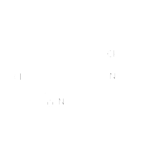 Clc1ccc2c(-c3ccc(C=Nc4ccccc4Cl)cc3)noc2c1